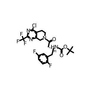 CC(C)(C)OC(=O)N[C@@H](CC(=O)N1CCc2c(Cl)nc(C(F)(F)F)nc2C1)Cc1cc(F)ccc1F